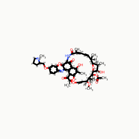 CO[C@H]1/C=C/O[C@@]2(C)Oc3c(C)c(O)c4c(=O)c(c5oc6cc(OCC7CCCN7C)ccc6nc-5c4c3C2=O)NC(=O)/C(C)=C\C=C\[C@H](C)[C@@H]2O[C@H]([C@H](O)[C@@H]2C)[C@H](OC(C)=O)[C@@H]1C